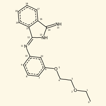 CCOCCOc1cccc(N=C2NC(=N)c3ccccc32)c1